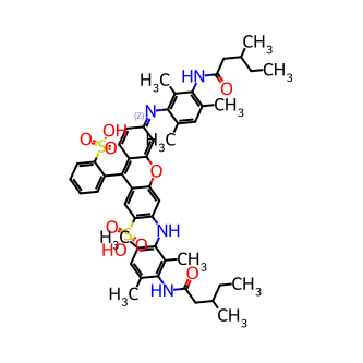 CCC(C)CC(=O)Nc1c(C)cc(C)c(/N=c2/ccc3c(-c4ccccc4S(=O)(=O)O)c4cc(S(=O)(=O)O)c(Nc5c(C)cc(C)c(NC(=O)CC(C)CC)c5C)cc4oc-3c2)c1C